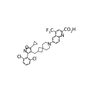 O=C(O)c1cc(C(F)(F)F)c2cc(N3CCC4(CC3)CC(Cc3c(-c5c(Cl)cccc5Cl)noc3C3CC3)C4)ccc2n1